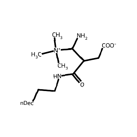 CCCCCCCCCCCCNC(=O)C(CC(=O)[O-])C(N)[N+](C)(C)C